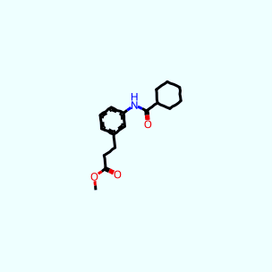 COC(=O)CCc1cccc(NC(=O)C2CCCCC2)c1